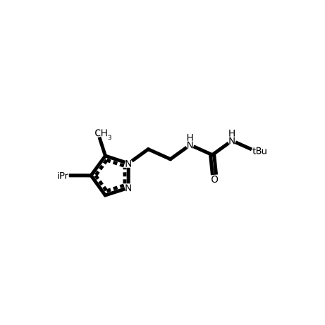 Cc1c(C(C)C)cnn1CCNC(=O)NC(C)(C)C